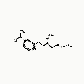 CCCCCC(CCc1cccc(C(=O)O)c1)OC